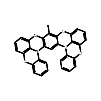 Cc1c2c(cc3c1Oc1cccc4c1B3c1ccccc1O4)B1c3ccccc3Oc3cccc(c31)O2